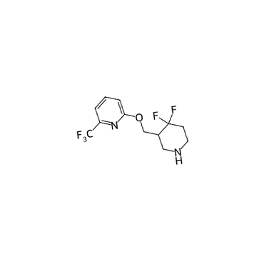 FC(F)(F)c1cccc(OCC2CNCCC2(F)F)n1